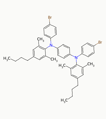 CCCCc1cc(C)c(N(c2ccc(Br)cc2)c2ccc(N(c3ccc(Br)cc3)c3c(C)cc(CCCC)cc3C)cc2)c(C)c1